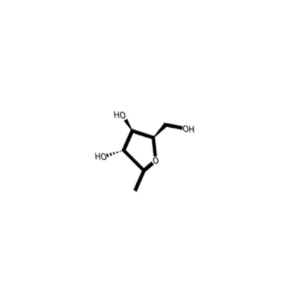 CC1O[C@H](CO)[C@H](O)[C@H]1O